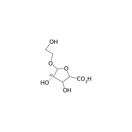 O=C(O)C1OC(OCCO)[C@@H](O)C1O